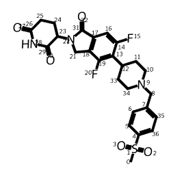 CS(=O)(=O)c1ccc(CN2CCC(c3c(F)cc4c(c3F)CN(C3CCC(=O)NC3=O)C4=O)CC2)cc1